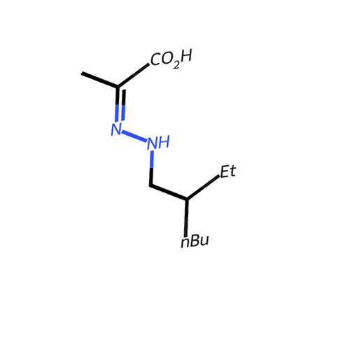 CCCCC(CC)CN/N=C(/C)C(=O)O